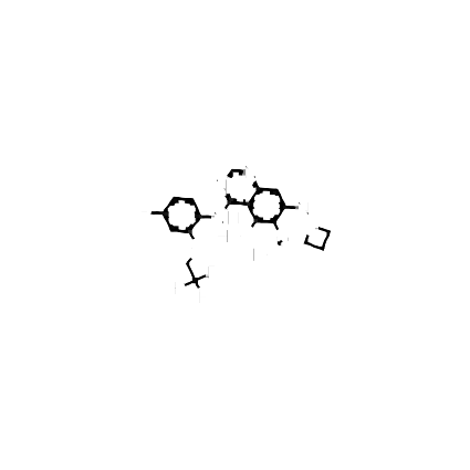 COc1c(N=S2CCC2)cc2ncnc(Nc3ccc(F)cc3OCC(F)(F)F)c2c1C